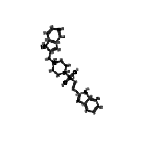 O=S(=O)(C=Cc1cc2ccccc2s1)N1CCN(Cc2cc3cnccc3[nH]2)CC1